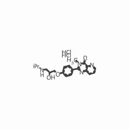 CC(C)NCC(O)COc1ccc(-c2nc3cccnc3c(=O)n2C)cc1.Cl.Cl